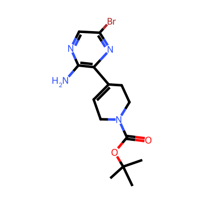 CC(C)(C)OC(=O)N1CC=C(c2nc(Br)cnc2N)CC1